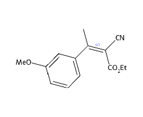 CCOC(=O)/C(C#N)=C(/C)c1cccc(OC)c1